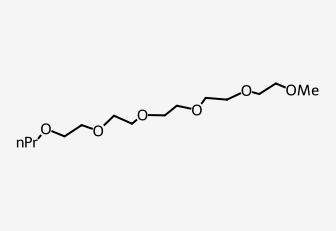 CCCOCCOCCOCCOCCOCCOC